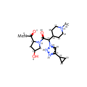 CNC(=O)C1CC(O)CN1C(=O)C(C1CCN(C(C)=O)CC1)n1cc(C2CC2)nn1